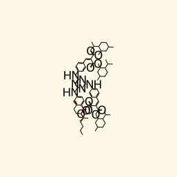 CCCCCOC(=O)c1ccc(Nc2nc(Nc3ccc(C=C(C(=O)OC4CC(C)CCC4C(C)C)C(=O)OC4CC(C)CCC4C(C)C)cc3)nc(Nc3ccc(C=C(C(=O)OC4CC(C)CCC4C(C)C)C(=O)OC4CC(C)CCC4C(C)C)cc3)n2)cc1